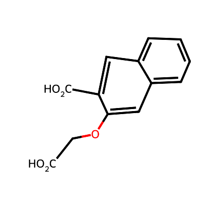 O=C(O)COc1cc2ccccc2cc1C(=O)O